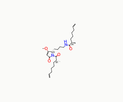 C=CCCCC[C@@H](C)C(=O)NCCCC[C@H]1C(OC)=CC(=O)N1C(=O)[C@H](C)CCCCC=C